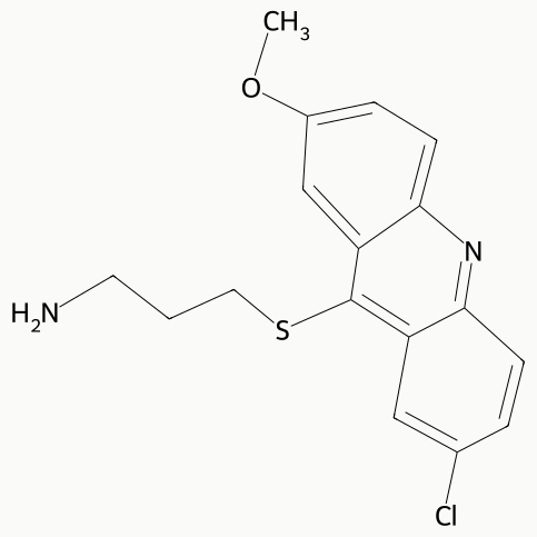 COc1ccc2nc3ccc(Cl)cc3c(SCCCN)c2c1